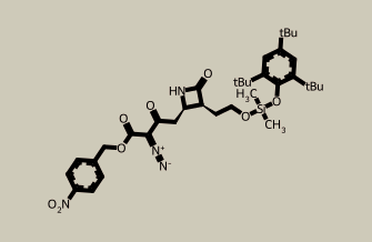 CC(C)(C)c1cc(C(C)(C)C)c(O[Si](C)(C)OCC[C@@H]2C(=O)N[C@@H]2CC(=O)C(=[N+]=[N-])C(=O)OCc2ccc([N+](=O)[O-])cc2)c(C(C)(C)C)c1